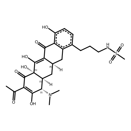 CC(=O)C1=C(O)[C@@H](N(C)C)[C@@H]2C[C@@H]3Cc4c(CCCNS(C)(=O)=O)ccc(O)c4C(=O)C3=C(O)[C@]2(O)C1=O